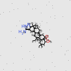 CCC1=C2[C@@H]3CC(C)(C)CC[C@]3(C(=O)OC)CC[C@@]2(C)[C@]2(C)CC[C@H]3C(C)(C)c4n[nH]c(N)c4C[C@]3(C)C2C1